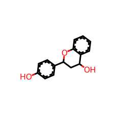 Oc1ccc(C2CC(O)c3ccccc3O2)cc1